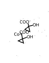 O=C([O-])C1(O)CC1.O=C([O-])C1(O)CC1.[Co+2]